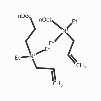 C=CC[N+](CC)(CC)CCCCCCCC.C=CC[N+](CC)(CC)CCCCCCCCCCCC